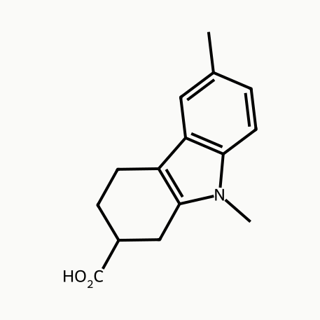 Cc1ccc2c(c1)c1c(n2C)CC(C(=O)O)CC1